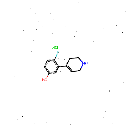 Cl.Oc1ccc(F)c(C2=CCNCC2)c1